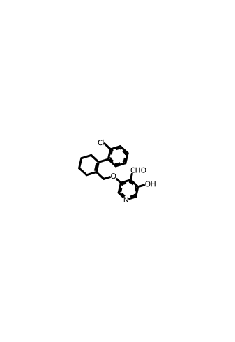 O=Cc1c(O)cncc1OCC1=C(c2ccccc2Cl)CCCC1